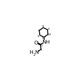 NCC(=O)N[C]1CCCCC1